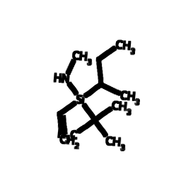 C=C[Si](NC)(C(C)CC)C(C)(C)C